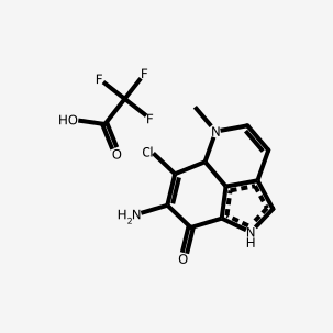 CN1C=Cc2c[nH]c3c2C1C(Cl)=C(N)C3=O.O=C(O)C(F)(F)F